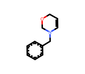 C1=CN(Cc2ccccc2)COC1